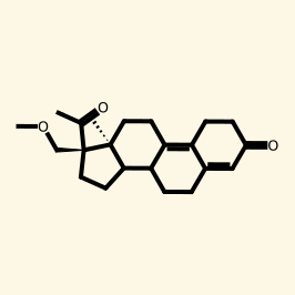 COC[C@]1(C(C)=O)CCC2C3CCC4=CC(=O)CCC4=C3CC[C@@]21C